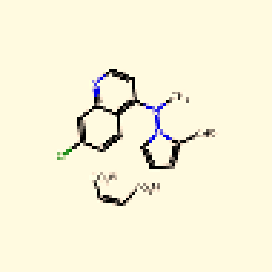 CN(c1ccnc2cc(Cl)ccc12)n1cccc1C=O.O=C(O)/C=C\C(=O)O